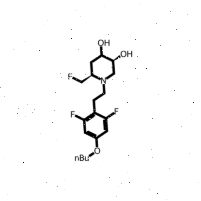 CCCCOc1cc(F)c(CCN2C[C@H](O)C(O)C[C@@H]2CF)c(F)c1